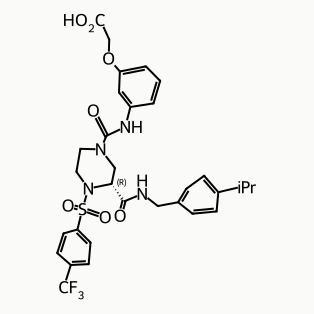 CC(C)c1ccc(CNC(=O)[C@H]2CN(C(=O)Nc3cccc(OCC(=O)O)c3)CCN2S(=O)(=O)c2ccc(C(F)(F)F)cc2)cc1